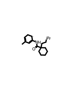 CC1=CC[CH]C(NC(=O)C2(CCC(C)C)CCCCC2)=C1